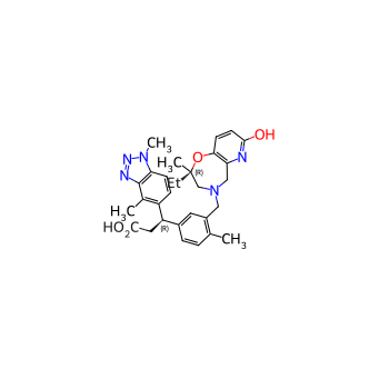 CC[C@]1(C)CN(Cc2cc([C@@H](CC(=O)O)c3ccc4c(nnn4C)c3C)ccc2C)Cc2nc(O)ccc2O1